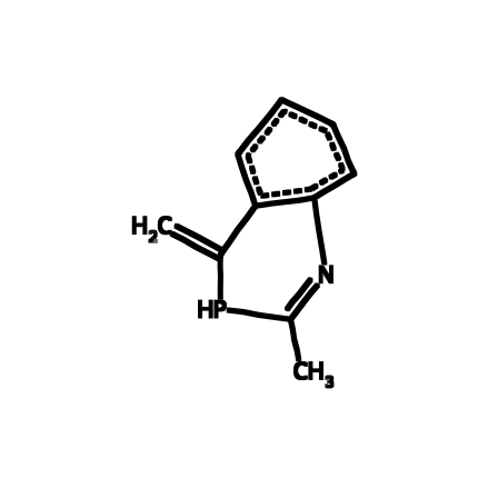 C=C1PC(C)=Nc2ccccc21